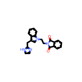 O=C1c2ccccc2C(=O)N1CCn1cc(Cc2ncc[nH]2)c2ccccc21